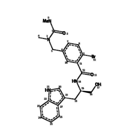 CNC(=O)N(C)Cc1ccc(Br)c(C(=O)N[C@@H](CO)Cc2c[nH]c3ccccc23)c1